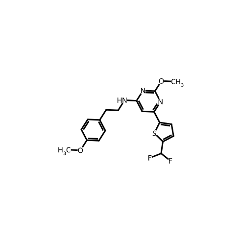 COc1ccc(CCNc2cc(-c3ccc(C(F)F)s3)nc(OC)n2)cc1